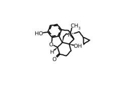 C[N+]1(CC2CC2)CC[C@]23c4c5ccc(O)c4O[C@H]2C(=O)CC[C@@]3(O)C1C5